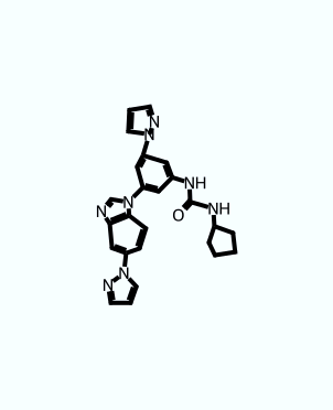 O=C(Nc1cc(-n2cccn2)cc(-n2cnc3cc(-n4cccn4)ccc32)c1)NC1CCCC1